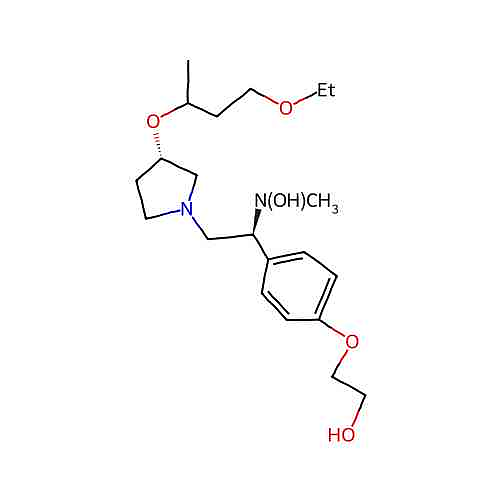 CCOCCC(C)O[C@H]1CCN(C[C@H](c2ccc(OCCO)cc2)N(C)O)C1